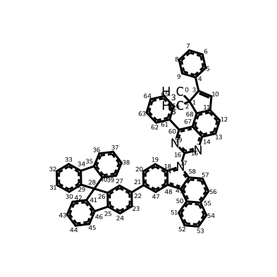 CC1(C)C(c2ccccc2)=Cc2ccc3nc(-n4c5ccc(-c6ccc7c(c6)C6(c8ccccc8-c8ccccc86)c6ccccc6-7)cc5c5c6ccccc6ccc54)nc(-c4ccccc4)c3c21